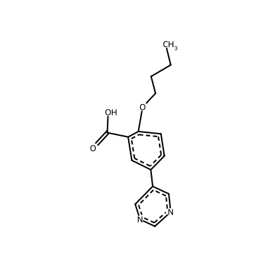 CCCCOc1ccc(-c2cncnc2)cc1C(=O)O